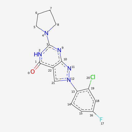 O=c1[nH]c(N2CCCC2)nc2nn(-c3ccc(F)cc3Cl)cc12